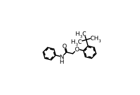 CC(C)(C)c1ccccc1OCC(=O)Nc1ccccc1